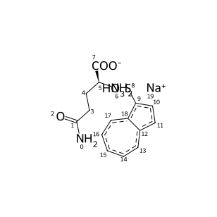 NC(=O)CC[C@H](N)C(=O)[O-].O=S(=O)(O)c1ccc2cccccc1-2.[Na+]